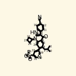 CC(C)Cc1cc2c(=O)c3c4ccc(C#N)cc4[nH]c3n(C3CCC3)c2cc1-c1cncc(S(=O)(=O)F)c1